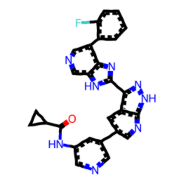 O=C(Nc1cncc(-c2cnc3[nH]nc(-c4nc5c(-c6ccccc6F)cncc5[nH]4)c3c2)c1)C1CC1